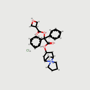 O=C(OC(C(=O)OC1CC2CCC(C1)[N+]21CCCC1)(c1ccccc1)c1ccccc1)C1COC1.[Cl-]